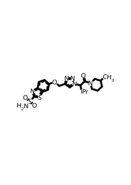 CC1CCCN(C(=O)C(C(C)C)n2cc(COc3ccc4nc(S(N)(=O)=O)sc4c3)nn2)C1